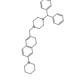 C1=C(CN2CCN(C(c3ccccc3)c3ccccc3)CC2)CCc2cc(N3CCCCC3)ccc21